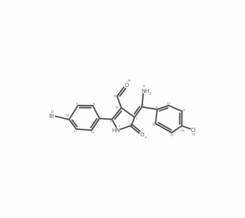 N/C(=C1/C(=O)NC(c2ccc(Br)cc2)=C1C=O)c1ccc(Cl)cc1